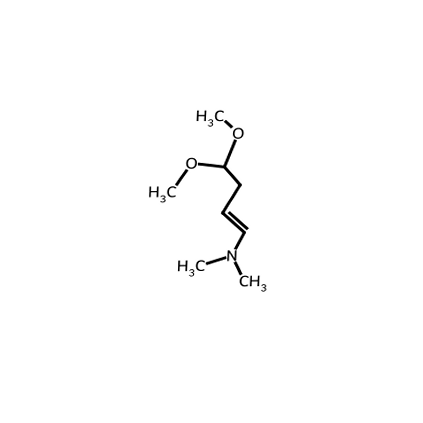 COC(CC=CN(C)C)OC